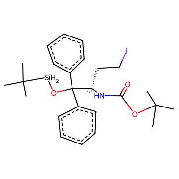 CC(C)(C)OC(=O)N[C@@H](CCI)C(O[SiH2]C(C)(C)C)(c1ccccc1)c1ccccc1